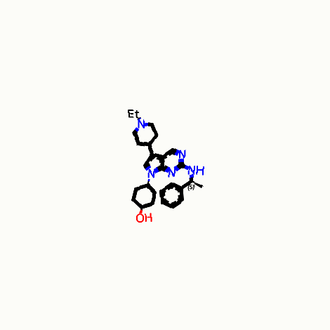 CCN1CCC(c2cn([C@H]3CC[C@H](O)CC3)c3nc(N[C@@H](C)c4ccccc4)ncc23)CC1